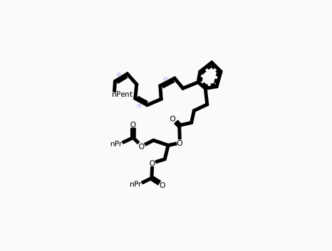 CCCCC/C=C\C/C=C\C/C=C\Cc1ccccc1CCCC(=O)OC(COC(=O)CCC)COC(=O)CCC